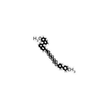 Cc1ccc2cccc(-c3cccc4ccc(COOOOOOOOOOOc5ccc(C6CCC(C)CC6)cc5)cc34)c2c1